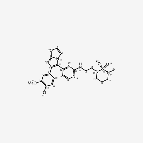 COc1cc(-c2nc3occn3c2-c2ccnc(NCCN3CCCN(C)S3(=O)=O)n2)ccc1Cl